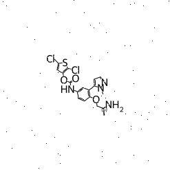 C[C@H](N)COc1ccc(NC(=O)Oc2cc(Cl)sc2Cl)cc1-c1ccnn1C